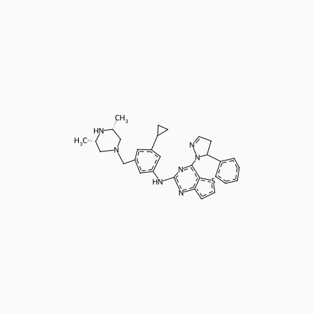 C[C@@H]1CN(Cc2cc(Nc3nc(N4N=CCC4c4ccccc4)c4sccc4n3)cc(C3CC3)c2)C[C@H](C)N1